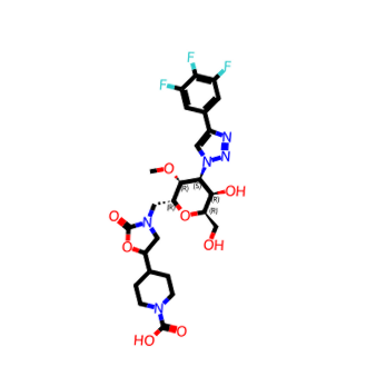 CO[C@@H]1[C@@H](n2cc(-c3cc(F)c(F)c(F)c3)nn2)[C@@H](O)[C@@H](CO)O[C@@H]1CN1CC(C2CCN(C(=O)O)CC2)OC1=O